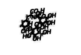 NC(Cc1ccc(O)cc1)C(=O)O.OC[C@H]1O[C@@H](O[C@H]2[C@H](O)[C@@H](O)[C@H](O)O[C@@H]2CO)[C@H](O)[C@@H](O)[C@H]1O